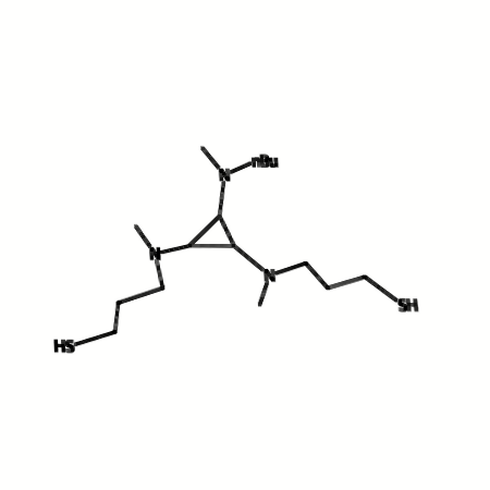 CCCCN(C)C1C(N(C)CCCS)C1N(C)CCCS